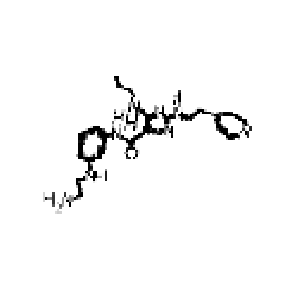 CCCNc1nc(NCCc2ccncc2)ncc1C(=O)Nc1cccc(NCCN)c1